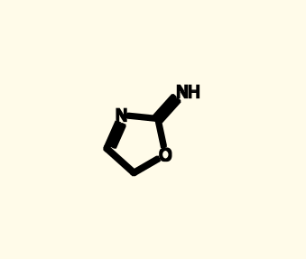 N=C1N=CCO1